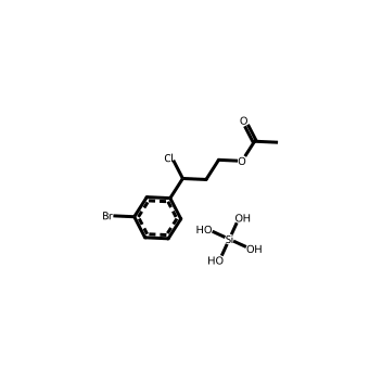 CC(=O)OCCC(Cl)c1cccc(Br)c1.O[Si](O)(O)O